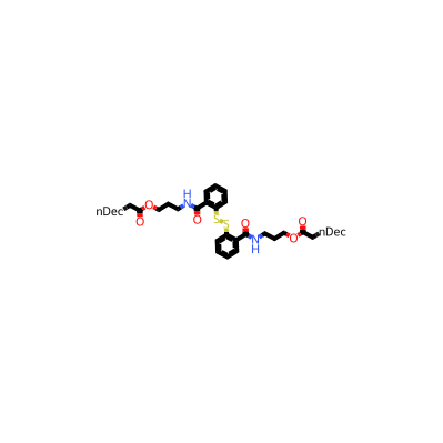 CCCCCCCCCCCC(=O)OCCCNC(=O)c1ccccc1SSc1ccccc1C(=O)NCCCOC(=O)CCCCCCCCCCC